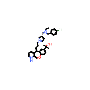 CCN(Cc1ccc(Cl)cc1)C[C@@H]1CCN(CCC=C2C3=CC=CNC3=COc3ccc(C(C)(C)O)cc32)C1